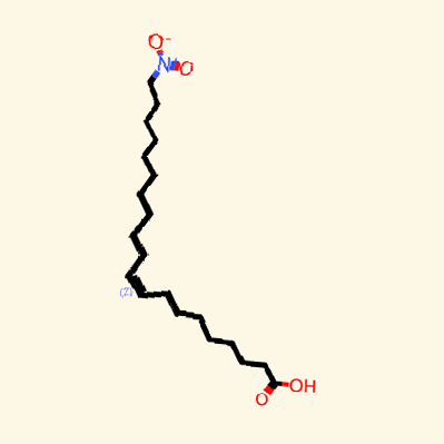 O=C(O)CCCCCCC/C=C\CCCCCCCCCC[N+](=O)[O-]